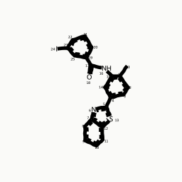 Cc1ccc(-c2nc3ccccc3s2)cc1NC(=O)c1cccc(I)c1